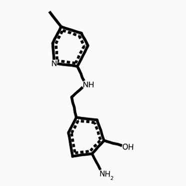 Cc1ccc(NCc2ccc(N)c(O)c2)nc1